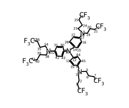 FC(F)(F)CCCN(CCCC(F)(F)F)c1ccc(N(c2ccc(N(CCCC(F)(F)F)CCCC(F)(F)F)cc2)c2ccc(N(CCCC(F)(F)F)CCCC(F)(F)F)cc2)cc1